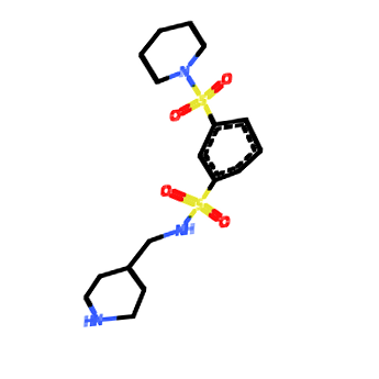 O=S(=O)(NCC1CCNCC1)c1cccc(S(=O)(=O)N2CCCCC2)c1